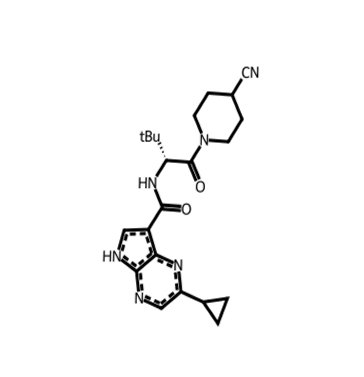 CC(C)(C)[C@@H](NC(=O)c1c[nH]c2ncc(C3CC3)nc12)C(=O)N1CCC(C#N)CC1